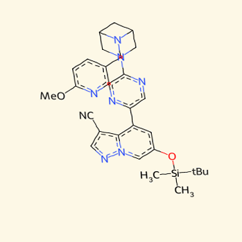 COc1ccc(CN2C3CC2CN(c2cnc(-c4cc(O[Si](C)(C)C(C)(C)C)cn5ncc(C#N)c45)cn2)C3)cn1